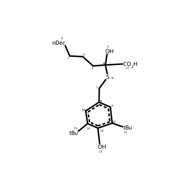 CCCCCCCCCCCCCC(O)(SCc1cc(C(C)(C)C)c(O)c(C(C)(C)C)c1)C(=O)O